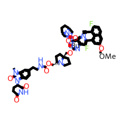 C#Cc1c(F)ccc2cc(OCOC)cc(-c3ncc4c(N5CC6CCC(C5)N6C(=O)OC(C)(C)C)nc(OC[C@@]56CCCN5[C@H](COC(=O)NCCc5ccc7c(c5)n(C)c(=O)n7C5CCC(=O)NC5=O)CC6)nc4c3F)c12